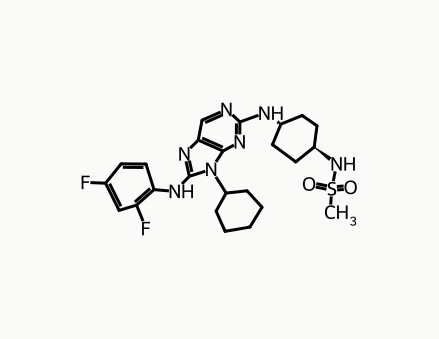 CS(=O)(=O)N[C@H]1CC[C@H](Nc2ncc3nc(Nc4ccc(F)cc4F)n(C4CCCCC4)c3n2)CC1